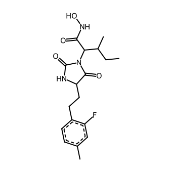 CCC(C)C(C(=O)NO)N1C(=O)NC(CCc2ccc(C)cc2F)C1=O